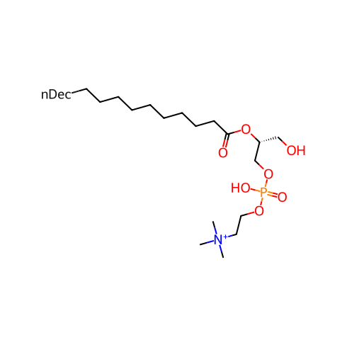 CCCCCCCCCCCCCCCCCCCC(=O)O[C@H](CO)COP(=O)(O)OCC[N+](C)(C)C